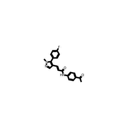 CC(=O)c1ccc(NC(=O)C=Cc2cnn(C)c2-c2ccc(F)cc2)cc1